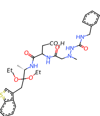 CCOC(Cc1csc2ccccc12)(OCC)[C@H](C)NC(=O)C(CC(=O)O)NC(=O)CN(C)NC(=O)NCc1ccccc1